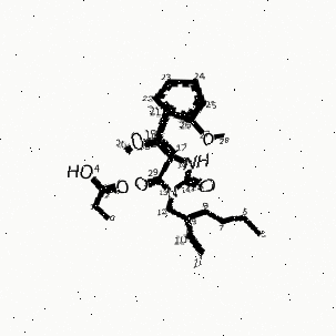 CCC(=O)O.CCCCC(CC)CN1C(=O)NC(=C(OC)c2ccccc2OC)C1=O